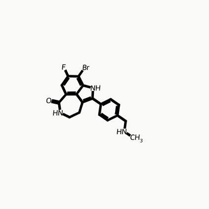 CNCc1ccc(-c2[nH]c3c(Br)c(F)cc4c3c2CCNC4=O)cc1